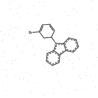 BrC1=CC=CC(n2c3ccccc3c3ccccc32)C1